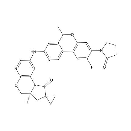 CC1Oc2cc(N3CCCC3=O)c(F)cc2-c2cnc(Nc3cnc4c(c3)N3C(=O)C5(CC5)C[C@H]3CO4)cc21